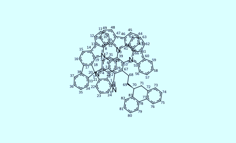 N#Cc1c(C#N)c(-n2c3ccccc3c3ccc4c(c32)C(c2ccccc2)(c2ccccc2)c2ccccc2-4)c(-n2c3ccccc3c3ccccc32)c(-n2c3ccccc3c3ccccc32)c1CC[C@H]1Cc2ccccc2-c2ccccc21